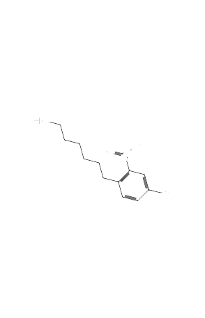 O=[N+]([O-])c1cc(Br)ccc1C[CH]CCCCO